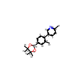 Cc1ccc(-c2ccc(B3OC(C)(C)C(C)(C)O3)cc2C)cn1